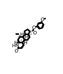 CC[C@H]1C[C@H]2NC(=O)C=C[C@]2(C)[C@H]2CC[C@]3(C)[C@@H](C(=O)Oc4cccc(OC)c4)CC[C@H]3[C@H]12